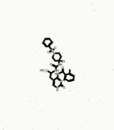 CCC1(NC(=O)NC(Cc2c[nH]c(=O)nc2NC(=O)c2c(C)cccc2C)C(=O)O)CCN(S(=O)(=O)c2ccccc2)CC1